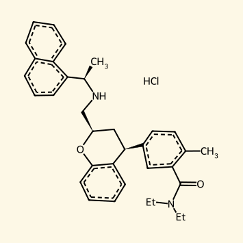 CCN(CC)C(=O)c1cc([C@@H]2C[C@H](CN[C@H](C)c3cccc4ccccc34)Oc3ccccc32)ccc1C.Cl